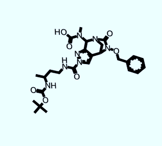 CC(CCNC(=O)n1cc2c(n1)C(N(C)C(=O)O)N1CC2N(OCc2ccccc2)C1=O)NC(=O)OC(C)(C)C